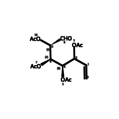 C=CC(OC(C)=O)[C@@H](OC(C)=O)[C@@H](OC(C)=O)[C@@H](C=O)OC(C)=O